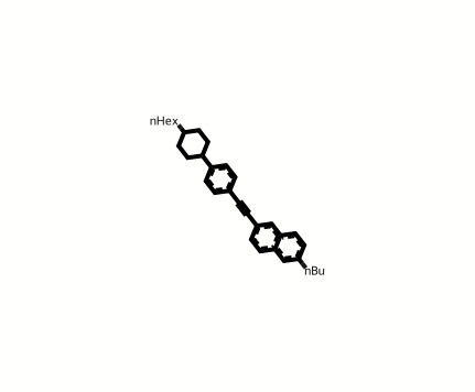 CCCCCCC1CCC(c2ccc(C#Cc3ccc4cc(CCCC)ccc4c3)cc2)CC1